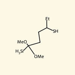 CCC(S)CCC([SiH3])(OC)OC